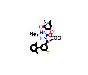 Cc1cccc(C)c1-c1cc(F)cc([C@H](CC(=O)[O-])NC(=O)Nc2c([O-])cc(C)n(C)c2=O)c1.[Na+].[Na+]